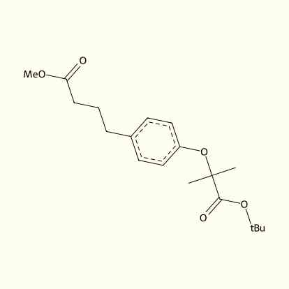 COC(=O)CCCc1ccc(OC(C)(C)C(=O)OC(C)(C)C)cc1